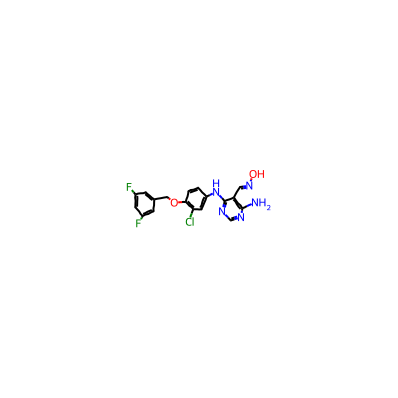 Nc1ncnc(Nc2ccc(OCc3cc(F)cc(F)c3)c(Cl)c2)c1C=NO